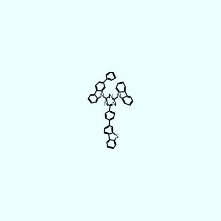 c1ccc(-c2ccc3c4ccccc4n(-c4nc(-c5ccc(-c6ccc7c(c6)sc6ccccc67)cc5)nc(-n5c6ccccc6c6ccccc65)n4)c3c2)cc1